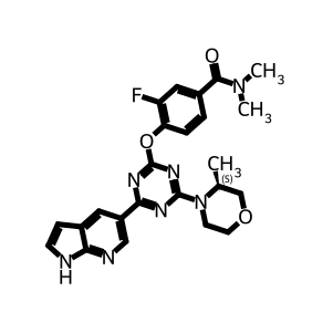 C[C@H]1COCCN1c1nc(Oc2ccc(C(=O)N(C)C)cc2F)nc(-c2cnc3[nH]ccc3c2)n1